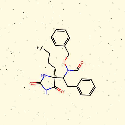 CCCC[C@@]1(C(Cc2ccccc2)N(C=O)OCc2ccccc2)NC(=O)NC1=O